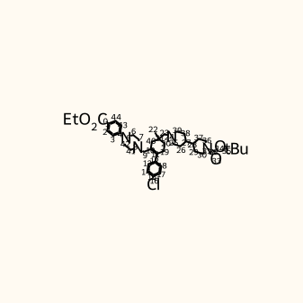 CCOC(=O)c1ccc(N2CCN(CC3=C(c4ccc(Cl)cc4)CCC(C)(CN4CCC(C5CCN(C(=O)OC(C)(C)C)CC5)CC4)C3)CC2)cc1